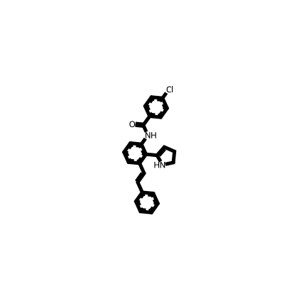 O=C(Nc1cccc(/C=C/c2ccccc2)c1C1=CCCN1)c1ccc(Cl)cc1